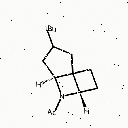 CC(=O)N1[C@H]2CCC23CC(C(C)(C)C)C[C@H]13